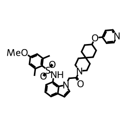 COc1cc(C)c(S(=O)(=O)Nc2cccc3ccn(CC(=O)N4CCC5(CCC(Oc6ccncc6)CC5)CC4)c23)c(C)c1